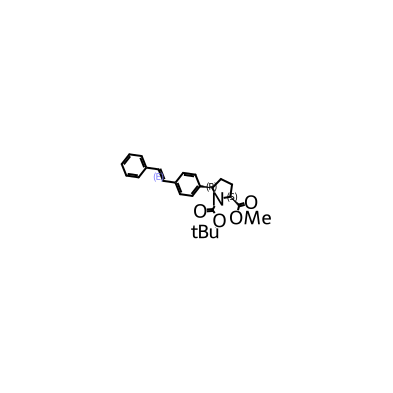 COC(=O)[C@@H]1CC[C@H](c2ccc(/C=C/c3ccccc3)cc2)N1C(=O)OC(C)(C)C